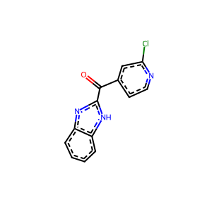 O=C(c1ccnc(Cl)c1)c1nc2ccccc2[nH]1